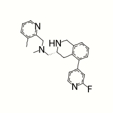 Cc1cccnc1CN(C)C[C@H]1Cc2c(cccc2-c2ccnc(F)c2)CN1